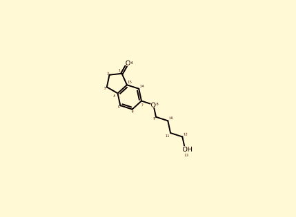 O=C1CCc2ccc(OCCCCO)cc21